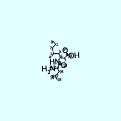 CCCC(C)C[C@@H](CC(=O)O)NC(=O)[C@@H](N)CC(C)C